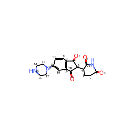 O=C1CCC(C2C(=O)c3ccc(N4CCNCC4)cc3C2=O)C(=O)N1